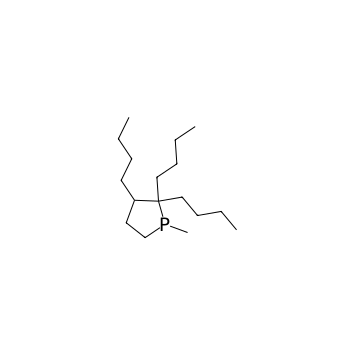 CCCCC1CCP(C)C1(CCCC)CCCC